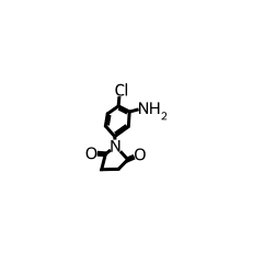 Nc1cc(N2C(=O)CCC2=O)ccc1Cl